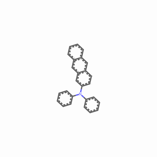 [c]1[c]c2cc3ccccc3cc2cc1N(c1ccccc1)c1ccccc1